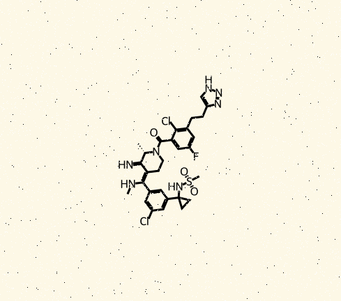 CN/C(=C1/CCN(C(=O)c2cc(F)cc(CCc3c[nH]nn3)c2Cl)[C@@H](C)C1=N)c1cc(Cl)cc(C2(NS(C)(=O)=O)CC2)c1